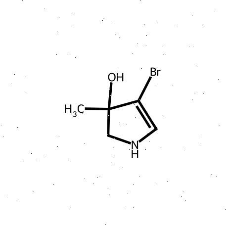 CC1(O)CNC=C1Br